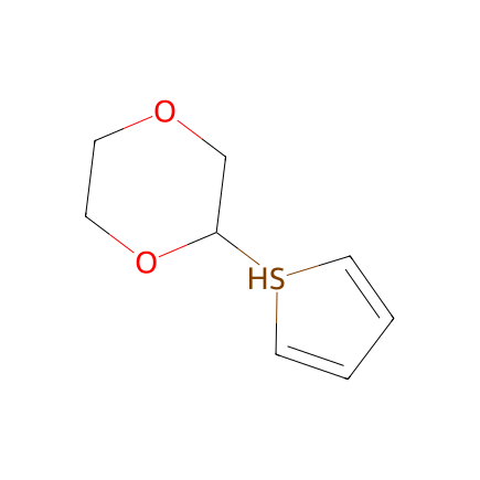 C1=C[SH](C2COCCO2)C=C1